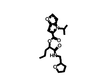 CCCC(OC(=O)c1cc2occc2n1C(C)C)C(=O)NCC1CCCO1